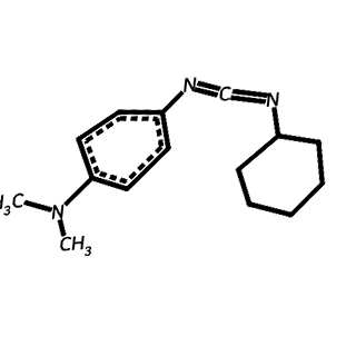 CN(C)c1ccc(N=C=NC2CCCCC2)cc1